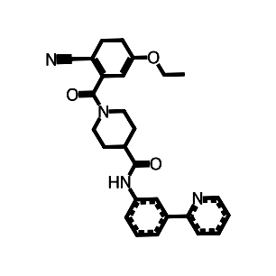 CCOC1=CC(C(=O)N2CCC(C(=O)Nc3cccc(-c4ccccn4)c3)CC2)=C(C#N)CC1